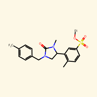 CCOS(=O)(=O)c1ccc(C)c(C2CN(Cc3ccc(C(F)(F)F)cc3)C(=O)N2C)c1